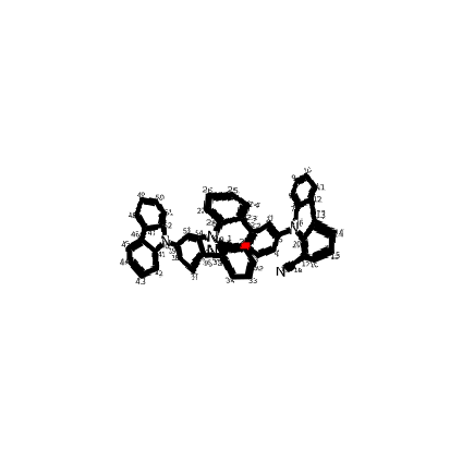 N#Cc1ccc(-n2c3ccccc3c3cccc(C#N)c32)cc1-c1ccccc1-n1c2ccccc2c2ccc(-n3c4ccccc4c4ccccc43)cc21